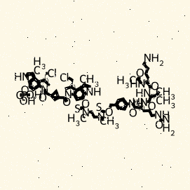 CC(=O)N[C@@H](CCCCN)C(=O)N[C@H](C(=O)N[C@@H](CCCNC(N)=O)C(=O)Nc1ccc(COC(=S)N(C)CCN(C)C(=S)Oc2cc3c(c4c(C)c[nH]c24)[C@H](CCl)CN3C(=O)C23CC(C(=O)N4C[C@@H](CCl)c5c4cc(OP(=O)(O)O)c4[nH]cc(C)c54)(C2)C3)cc1)C(C)C